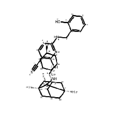 N#Cc1cnc(NCc2ccccc2O)nc1NC[C@@]12CC3C[C@H](C1)[C@H](N[C@H]1CC[C@H](O)CC1)[C@@H](C3)C2